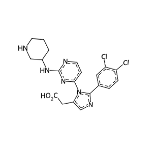 O=C(O)Cc1cnc(-c2ccc(Cl)c(Cl)c2)n1-c1ccnc(NC2CCCNC2)n1